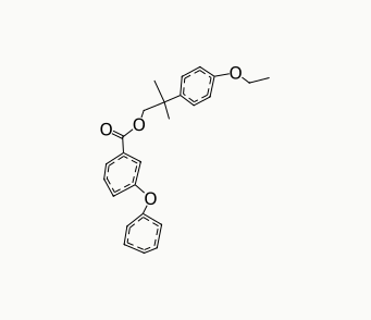 CCOc1ccc(C(C)(C)COC(=O)c2cccc(Oc3ccccc3)c2)cc1